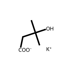 CC(C)(O)CC(=O)[O-].[K+]